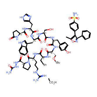 CC(=O)O.CC(C)C[C@H](NC(=O)[C@@H](COC(C)(C)C)NC(=O)[C@H](Cc1ccc(O)cc1)NC(=O)[C@H](CO)NC(=O)[C@H](Cc1c[nH]c2ccccc12)NC(=O)[C@H](Cc1c[nH]cn1)NC(=O)[C@@H]1CCC(=O)N1)C(=O)N[C@@H](CCCNC(=N)N)C(=O)N1CCC[C@H]1C(=O)NNC(N)=O.Cc1onc(-c2ccccc2)c1-c1ccc(S(N)(=O)=O)cc1